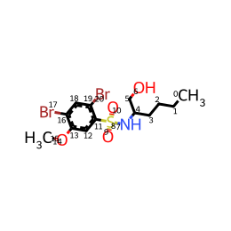 CCCCC(CO)NS(=O)(=O)c1cc(OC)c(Br)cc1Br